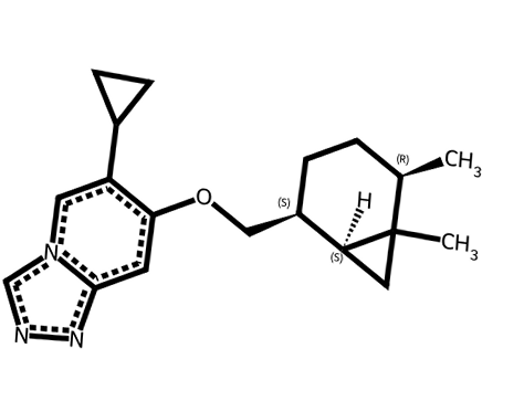 C[C@@H]1CC[C@H](COc2cc3nncn3cc2C2CC2)[C@@H]2CC12C